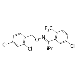 CC(C)/C(=N\OCc1ccc(Cl)cc1Cl)c1cc(Cl)ccc1C(F)(F)F